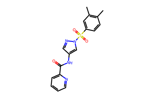 Cc1ccc(S(=O)(=O)n2cc(NC(=O)c3ccccn3)cn2)cc1C